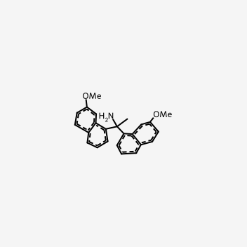 COc1ccc2cccc(C(C)(N)c3cccc4ccc(OC)cc34)c2c1